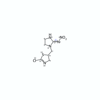 O=[N+]([O-])/N=C1\NCCN1CC1CN=C(Cl)S1